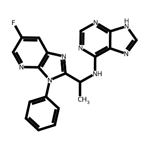 CC(Nc1ncnc2[nH]cnc12)c1nc2cc(F)cnc2n1-c1ccccc1